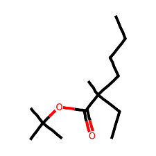 CCCCC(C)(CC)C(=O)OC(C)(C)C